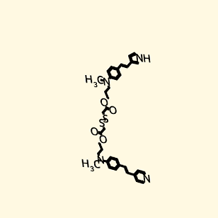 CN(CCCOC(=O)CSSCC(=O)OCCCN(C)c1ccc(/C=C/c2cc[nH]c2)cc1)c1ccc(/C=C/c2ccncc2)cc1